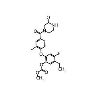 CCc1cc(OC(=O)OC)c(Oc2ccc(C(=O)N3CCNC(=O)C3)cc2F)cc1F